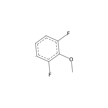 COc1c(F)[c]ccc1F